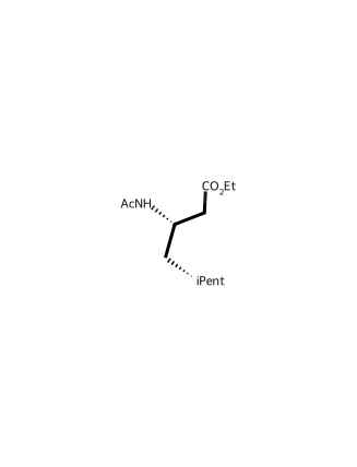 CCC[C@@H](C)C[C@@H](CC(=O)OCC)NC(C)=O